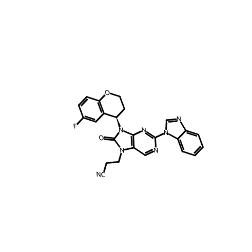 N#CCCn1c(=O)n([C@@H]2CCOc3ccc(F)cc32)c2nc(-n3cnc4ccccc43)ncc21